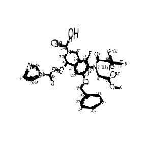 COC(=O)CN(C(=O)C(F)(F)F)c1c(OCc2ccccc2)cc2c(c1F)CN(C(=O)O)CC2OSC(=O)n1ccnc1